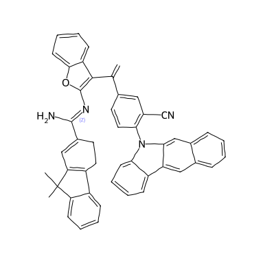 C=C(c1ccc(-n2c3ccccc3c3cc4ccccc4cc32)c(C#N)c1)c1c(/N=C(\N)C2=CC3=C(CC2)c2ccccc2C3(C)C)oc2ccccc12